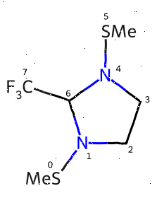 CSN1CCN(SC)C1C(F)(F)F